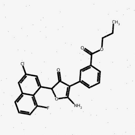 CCCOC(=O)c1cccc(C2=C(N)OC(c3cc(Cl)cc4cccc(F)c34)C2=O)c1